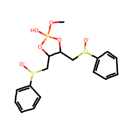 CO[P]1(O)OC(C[S+]([O-])c2ccccc2)C(C[S+]([O-])c2ccccc2)O1